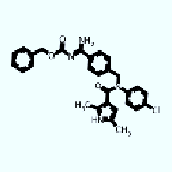 Cc1cc(C(=O)N(Cc2ccc(C(N)=NC(=O)OCc3ccccc3)cc2)c2ccc(Cl)cc2)c(C)[nH]1